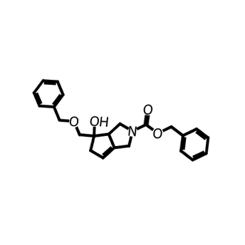 O=C(OCc1ccccc1)N1CC2=CCC(O)(COCc3ccccc3)C2C1